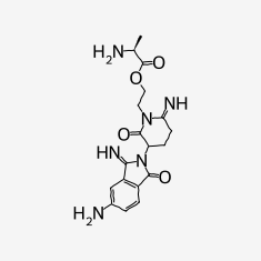 C[C@H](N)C(=O)OCCN1C(=N)CCC(N2C(=N)c3cc(N)ccc3C2=O)C1=O